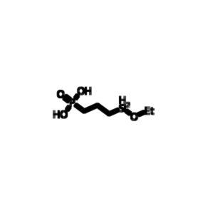 CCO[SiH2]CCCP(=O)(O)O